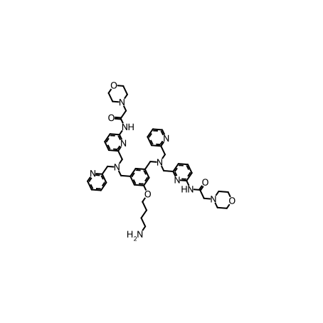 NCCCCOc1cc(CN(Cc2ccccn2)Cc2cccc(NC(=O)CN3CCOCC3)n2)cc(CN(Cc2ccccn2)Cc2cccc(NC(=O)CN3CCOCC3)n2)c1